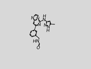 Cc1cc(Nc2nc(-c3cccc(CNC=O)c3)cc3nccn23)n[nH]1